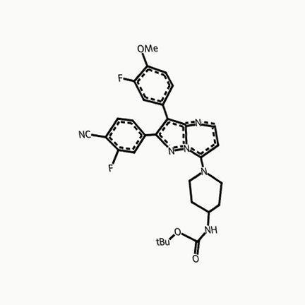 COc1ccc(-c2c(-c3ccc(C#N)c(F)c3)nn3c(N4CCC(NC(=O)OC(C)(C)C)CC4)ccnc23)cc1F